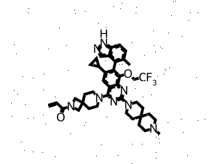 C=CC(=O)N1CC2(CCN(c3nc(N4CCC5(CCN(C)CC5)CC4)nc4c(OCC(F)(F)F)c(-c5c(C)ccc6[nH]ncc56)c(C5CC5)cc34)CC2)C1